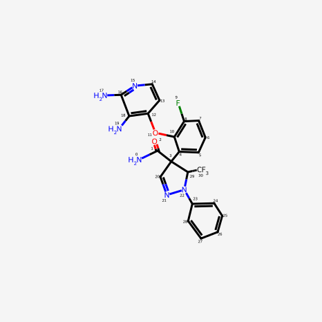 NC(=O)C1(c2cccc(F)c2Oc2ccnc(N)c2N)C=NN(c2ccccc2)C1C(F)(F)F